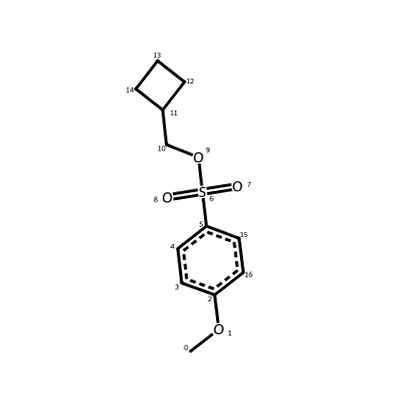 COc1ccc(S(=O)(=O)OCC2CCC2)cc1